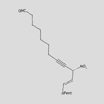 CCCCCC=CC(C#CCCCCCCC=O)[N+](=O)[O-]